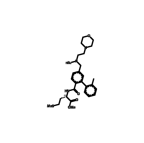 CCCCN(CCN1CCOCC1)Cc1ccc(C(=O)N[C@@H](CCSC)C(=O)OC)c(-c2ccccc2C)c1